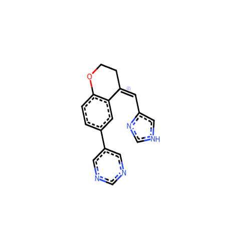 C(=C1\CCOc2ccc(-c3cncnc3)cc21)/c1c[nH]cn1